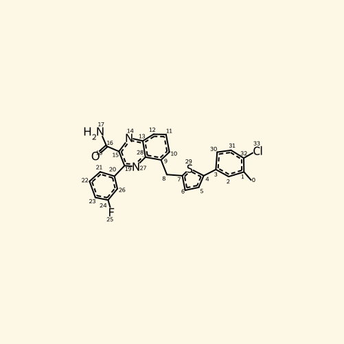 Cc1cc(-c2ccc(Cc3cccc4nc(C(N)=O)c(-c5cccc(F)c5)nc34)s2)ccc1Cl